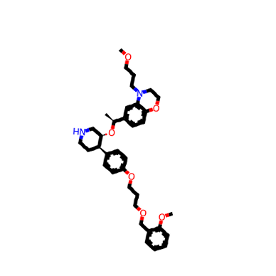 COCCCN1CCOc2ccc([C@H](C)O[C@H]3CNCC[C@@H]3c3ccc(OCCCOCc4ccccc4OC)cc3)cc21